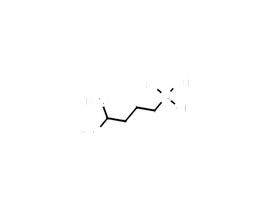 CC(N)CCC[Si](O)(O)O